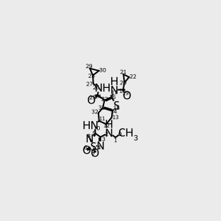 CCNC1=NS(=O)(=O)N=C1NC1CCc2sc(NC(=O)C3CC3)c(C(=O)NCC3CC3)c2C1